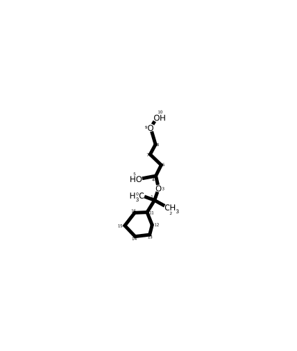 CC(C)(OC(O)CCCOO)C1CCCCC1